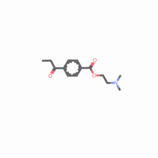 CCC(=O)c1ccc(C(=O)OCCN(C)C)cc1